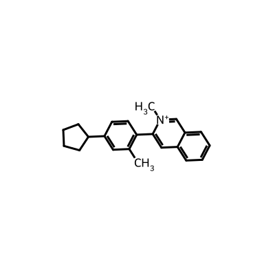 Cc1cc(C2CCCC2)ccc1-c1cc2ccccc2c[n+]1C